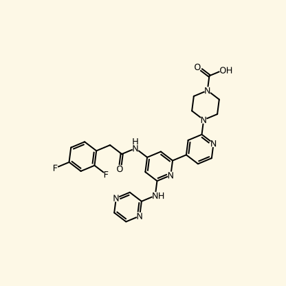 O=C(Cc1ccc(F)cc1F)Nc1cc(Nc2cnccn2)nc(-c2ccnc(N3CCN(C(=O)O)CC3)c2)c1